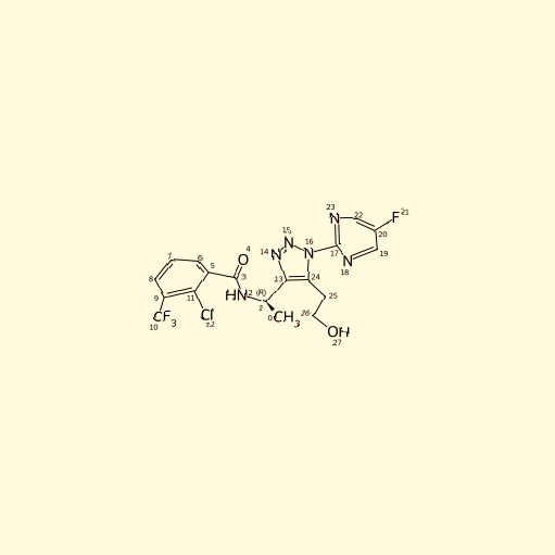 C[C@@H](NC(=O)c1cccc(C(F)(F)F)c1Cl)c1nnn(-c2ncc(F)cn2)c1CCO